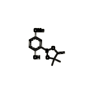 C=C1OB(c2cc(OC)ccc2O)OC1(C)C